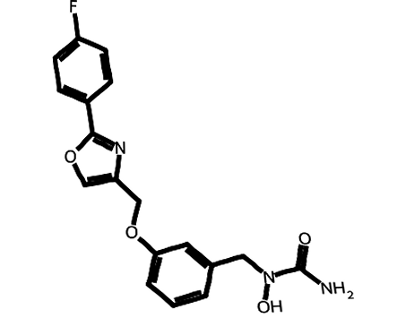 NC(=O)N(O)Cc1cccc(OCc2coc(-c3ccc(F)cc3)n2)c1